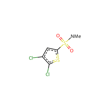 CNS(=O)(=O)c1cc(Cl)c(Cl)s1